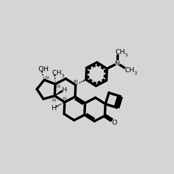 CN(C)c1ccc([C@H]2C[C@]3(C)[C@@H](O)CC[C@H]3[C@@H]3CCC4=CC(=O)C5(C#CC5)CC4=C32)cc1